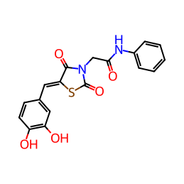 O=C(CN1C(=O)SC(=Cc2ccc(O)c(O)c2)C1=O)Nc1ccccc1